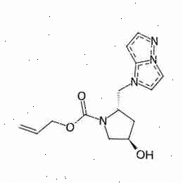 C=CCOC(=O)N1C[C@H](O)C[C@H]1Cn1ccn2nccc12